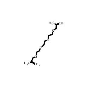 [CH]=C(C)CSCCOCCOCCSCC(=C)C